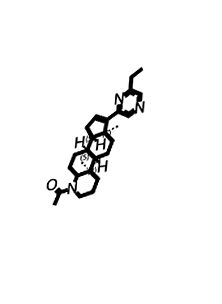 CCc1cncc(C2=CC[C@H]3[C@@H]4CCC5N(C(C)=O)CCC[C@]5(C)[C@H]4CC[C@]23C)n1